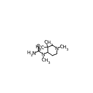 CN1CCC(N(C)C(N)=O)C(C)(C)C1